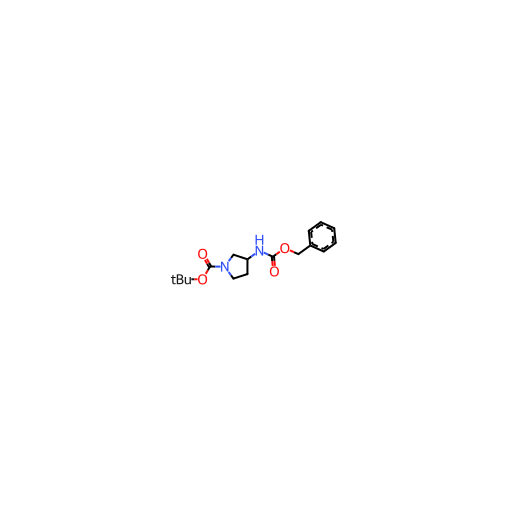 CC(C)(C)OC(=O)N1CCC(NC(=O)OCc2ccccc2)C1